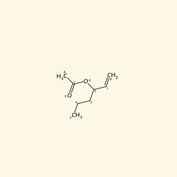 C=CC(CCC)OC(C)=O